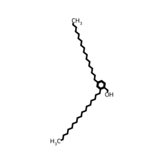 CCCCCCCCCCCCCCCCCCc1ccc(CO)c(CCCCCCCCCCCCCCCCCC)c1